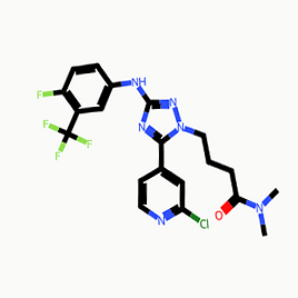 CN(C)C(=O)CCCn1nc(Nc2ccc(F)c(C(F)(F)F)c2)nc1-c1ccnc(Cl)c1